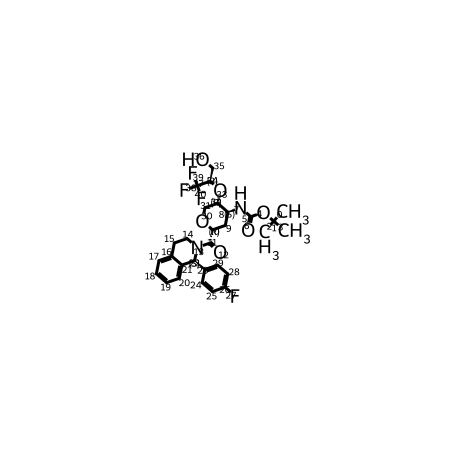 CC(C)(C)OC(=O)N[C@H]1C[C@H](C(=O)N2CCc3ccccc3[C@@H]2c2ccc(F)cc2)OC[C@@H]1O[C@H](CO)C(F)(F)F